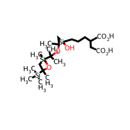 CC1([Si](C)(C)C)C[Si](C)(C(C)(C)OC2(C)C[Si]2(O)CCCC(CC(=O)O)C(=O)O)O1